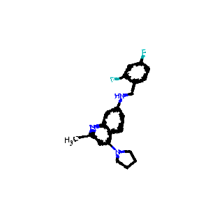 Cc1cc(N2CCCC2)c2ccc(NCc3ccc(F)cc3F)cc2n1